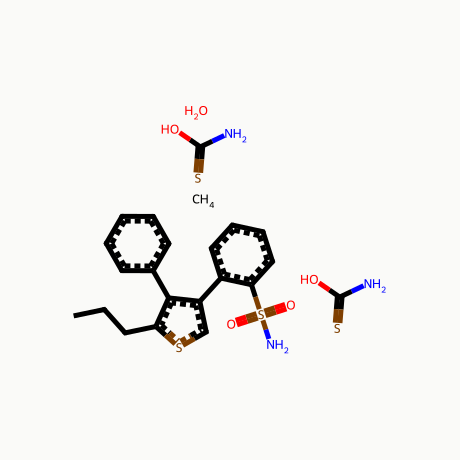 C.CCCc1scc(-c2ccccc2S(N)(=O)=O)c1-c1ccccc1.NC(O)=S.NC(O)=S.O